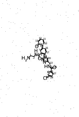 NCCNC(=O)c1cc(-n2ccccc2=O)ccc1-n1cc(CNC(=O)c2ccc(Cl)s2)nn1